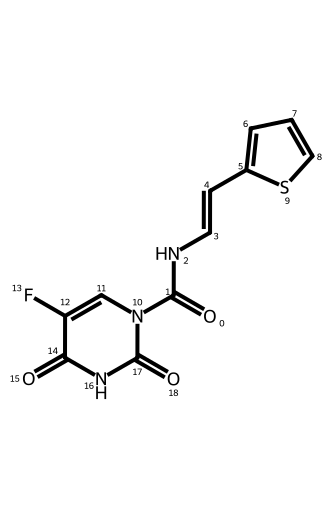 O=C(NC=Cc1cccs1)n1cc(F)c(=O)[nH]c1=O